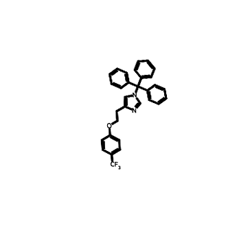 FC(F)(F)c1ccc(OCCc2cn(C(c3ccccc3)(c3ccccc3)c3ccccc3)cn2)cc1